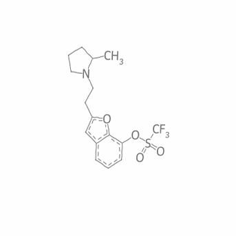 CC1CCCN1CCc1cc2cccc(OS(=O)(=O)C(F)(F)F)c2o1